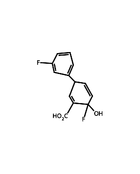 O=C(O)C1=CC(c2cccc(F)c2)C=CC1(O)F